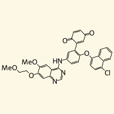 COCCOc1cc2ncnc(Nc3ccc(Oc4ccc(Cl)c5ccccc45)c(C4=CC(=O)C=CC4=O)c3)c2cc1OC